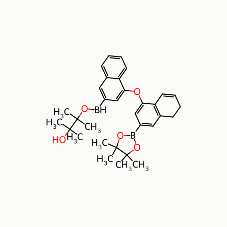 CC(C)(O)C(C)(C)OBc1cc(Oc2cc(B3OC(C)(C)C(C)(C)O3)cc3c2C=CCC3)c2ccccc2c1